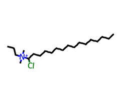 CCCCCCCCCCCCCCCC(Cl)[N+](C)(C)CCC